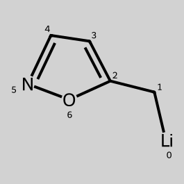 [Li][CH2]c1ccno1